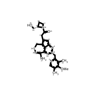 COc1c(C)cnc(Cn2nc3cc(CC(=O)N4CC[C@H]4CO)c4c-3c(n2)C(N)=NSC4)c1C